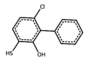 Oc1c(S)ccc(Cl)c1-c1ccccc1